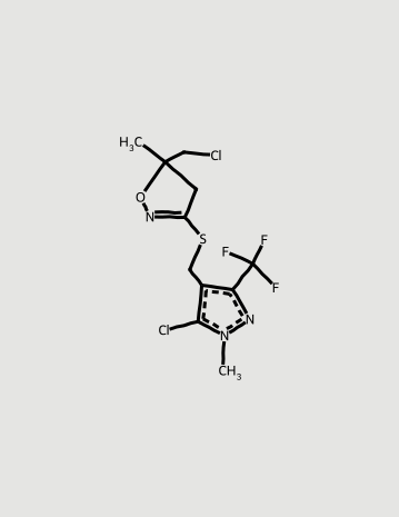 Cn1nc(C(F)(F)F)c(CSC2=NOC(C)(CCl)C2)c1Cl